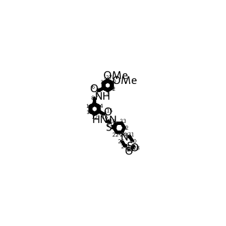 COc1ccc(C(=O)NCc2cccc(C(=O)Nc3nc4c(s3)CC(N3CCS(=O)(=O)CC3)CC4)c2)cc1OC